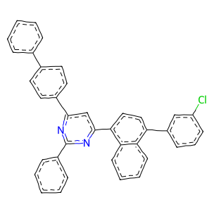 Clc1cccc(-c2ccc(-c3cc(-c4ccc(-c5ccccc5)cc4)nc(-c4ccccc4)n3)c3ccccc23)c1